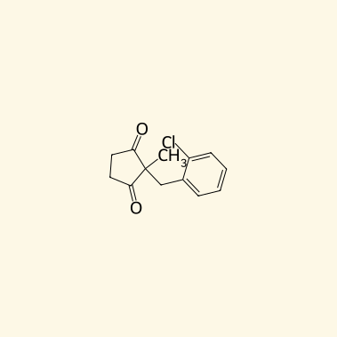 CC1(Cc2ccccc2Cl)C(=O)CCC1=O